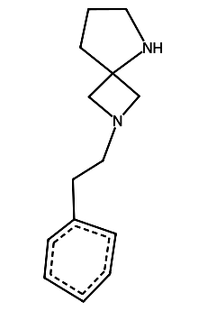 c1ccc(CCN2CC3(CCCN3)C2)cc1